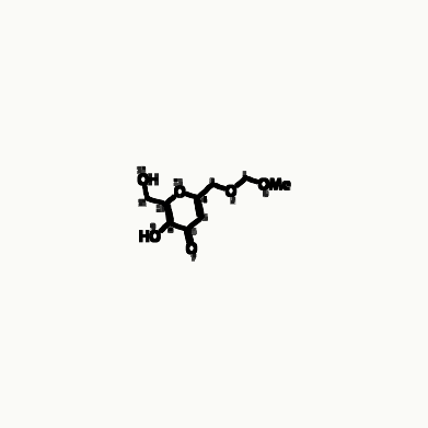 COCOCc1cc(=O)c(O)c(CO)o1